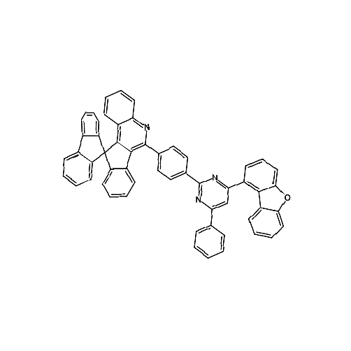 c1ccc(-c2cc(-c3cccc4oc5ccccc5c34)nc(-c3ccc(-c4nc5ccccc5c5c4-c4ccccc4C54c5ccccc5-c5ccccc54)cc3)n2)cc1